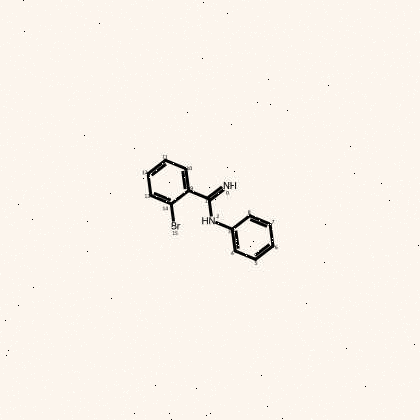 N=C(Nc1ccccc1)c1ccccc1Br